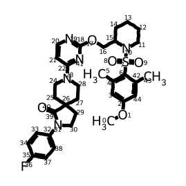 COc1cc(C)c(S(=O)(=O)N2CCCCC2COc2nccc(N3CCC4(CC3)CCN(c3ccc(F)cc3)C4=O)n2)c(C)c1